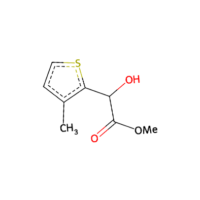 COC(=O)C(O)c1sccc1C